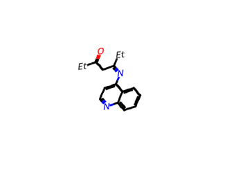 CCC(=O)CC(CC)=Nc1ccnc2ccccc12